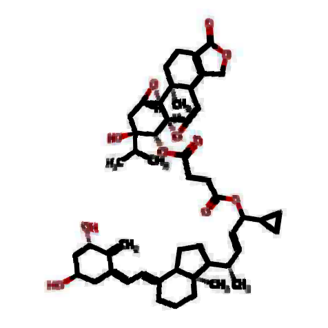 C=C1/C(=C\C=C2/CCC[C@@]3(C)C2CCC3[C@@H](C)/C=C/C(OC(=O)CCC(=O)O[C@H]2[C@]34O[C@H]3CC3C5=C(CC[C@]3(C)[C@@]43O[C@H]3C[C@@]2(O)C(C)C)C(=O)OC5)C2CC2)C[C@@H](O)C[C@@H]1O